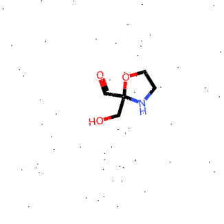 O=CC1(CO)NCCO1